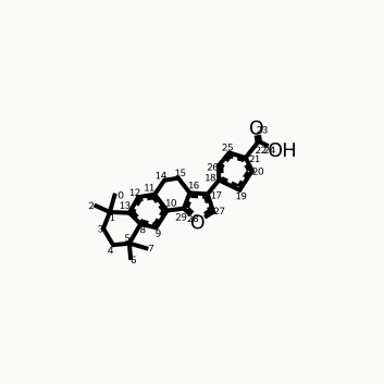 CC1(C)CCC(C)(C)c2cc3c(cc21)CCc1c(-c2ccc(C(=O)O)cc2)coc1-3